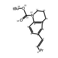 CC(C)/C=C/c1ccc2c(c1)CCCN2C(=O)OC(C)(C)C